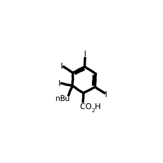 CCCCC1(I)C(I)=C(I)C=C(I)C1C(=O)O